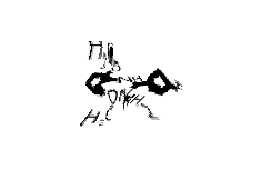 COc1cccc(OC)c1NC(=NN)c1ccc(F)cc1